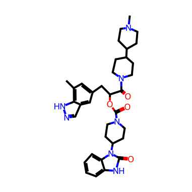 Cc1cc(CC(OC(=O)N2CCC(n3c(=O)[nH]c4ccccc43)CC2)C(=O)N2CCC(C3CCN(C)CC3)CC2)cc2cn[nH]c12